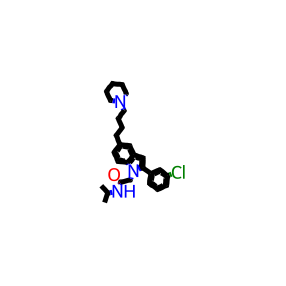 CC(C)NC(=O)Cn1c(-c2cccc(Cl)c2)cc2cc(CCCCN3CCCCC3)ccc21